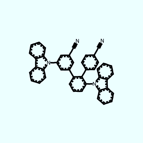 N#Cc1ccc(-c2c(-c3cc(C#N)cc(-n4c5ccccc5c5ccccc54)c3)cccc2-n2c3ccccc3c3ccccc32)cc1